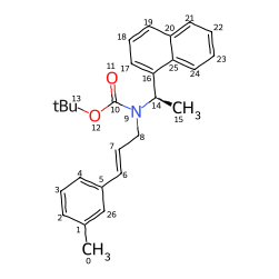 Cc1cccc(/C=C/CN(C(=O)OC(C)(C)C)[C@H](C)c2cccc3ccccc23)c1